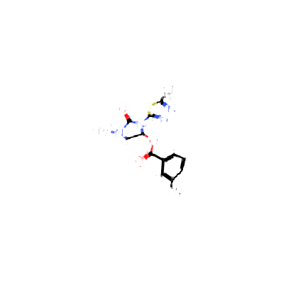 CCCN1CC(OC(=O)c2cccc(C#N)c2)N(c2nnc(C(F)(F)F)s2)C1=O